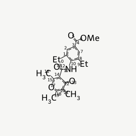 CCc1cc(C(=O)OC)cc(CC)c1NC(=O)c1c(C)oc(C)c(C)c1=O